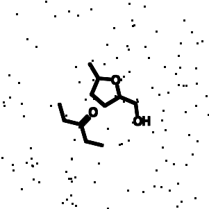 CC1CCC(CO)O1.CCC(=O)CC